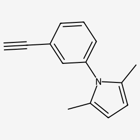 C#Cc1cccc(-n2c(C)ccc2C)c1